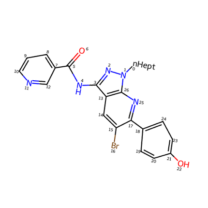 CCCCCCCn1nc(NC(=O)c2cccnc2)c2cc(Br)c(-c3ccc(O)cc3)nc21